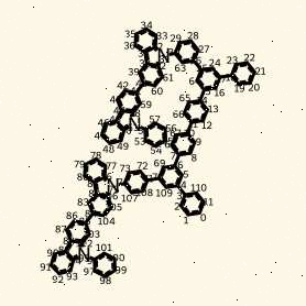 c1ccc(-c2cc(-c3ccc(-c4ccc(-c5cc(-c6ccccc6)cc(-c6cccc(-n7c8ccccc8c8cc(-c9ccc%10c%11ccccc%11n(-c%11ccccc%11)c%10c9)ccc87)c6)c5)cc4)cc3)cc(-c3ccc(-n4c5ccccc5c5cc(-c6ccc7c8ccccc8n(-c8ccccc8)c7c6)ccc54)cc3)c2)cc1